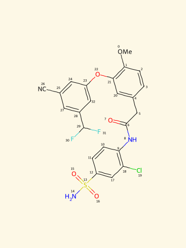 COc1ccc(CC(=O)Nc2ccc(S(N)(=O)=O)cc2Cl)cc1Oc1cc(C#N)cc(C(F)F)c1